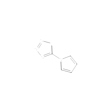 c1ccn(-c2nnns2)c1